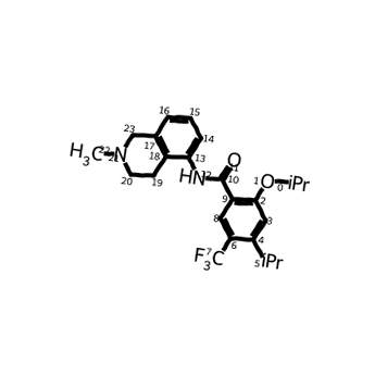 CC(C)Oc1cc(C(C)C)c(C(F)(F)F)cc1C(=O)Nc1cccc2c1CCN(C)C2